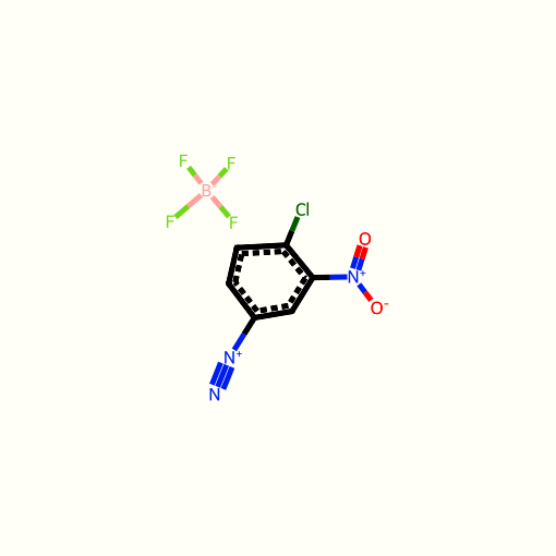 F[B-](F)(F)F.N#[N+]c1ccc(Cl)c([N+](=O)[O-])c1